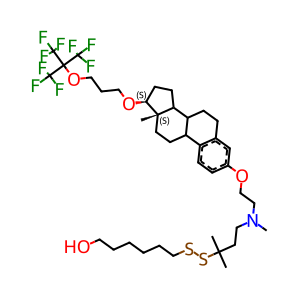 CN(CCOc1ccc2c(c1)CCC1C2CC[C@@]2(C)C1CC[C@@H]2OCCCOC(C(F)(F)F)(C(F)(F)F)C(F)(F)F)CCC(C)(C)SSCCCCCCO